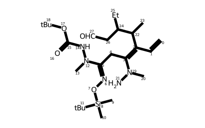 C=C/C(=C(/C/C(=N/O[Si](C)(C)C(C)(C)C)N(C)NC(=O)OC(C)(C)C)N(C)N)C(C)C(CC)CC=O